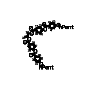 CCCCCOc1ccc(C(=O)Oc2ccc(C(=O)OCC(C)OC(=O)c3ccc(OC(=O)c4ccc(OCCCCC)cc4)cc3)cc2)cc1